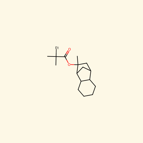 CCC(C)(C)C(=O)OC1(C)CC2CC1C1CCCCC21